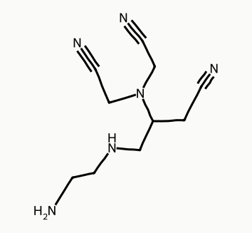 N#CCC(CNCCN)N(CC#N)CC#N